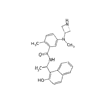 Cc1ccc(N(C)C2CNC2)cc1C(=O)NC(C)c1c(O)ccc2ccccc12